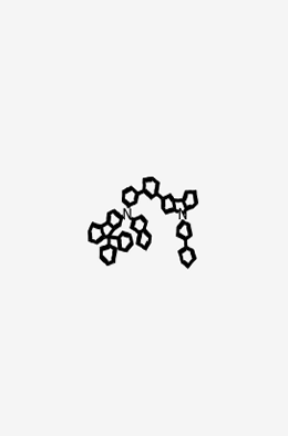 c1ccc(-c2ccc(-n3c4ccccc4c4cc(-c5cccc(-c6cccc(N(c7ccc8c(c7)C(c7ccccc7)(c7ccccc7)c7ccccc7-8)c7ccc8ccccc8c7)c6)c5)ccc43)cc2)cc1